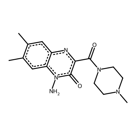 Cc1cc2nc(C(=O)N3CCN(C)CC3)c(=O)n(N)c2cc1C